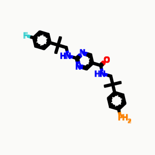 CC(C)(CNC(=O)c1cnc(NCC(C)(C)c2ccc(F)cc2)nc1)c1ccc(P)cc1